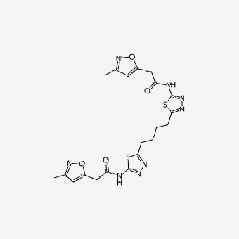 Cc1cc(CC(=O)Nc2nnc(CCCCc3nnc(NC(=O)Cc4cc(C)no4)s3)s2)on1